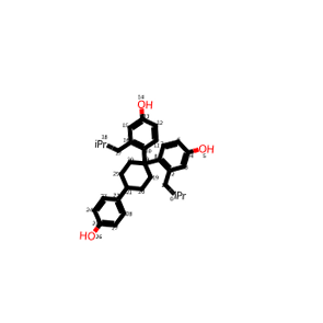 CC(C)Cc1cc(O)ccc1C1(c2ccc(O)cc2CC(C)C)CCC(c2ccc(O)cc2)CC1